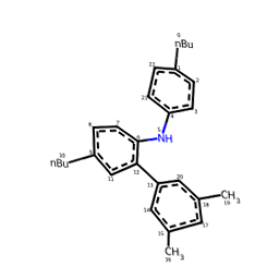 CCCCc1ccc(Nc2ccc(CCCC)cc2-c2cc(C)cc(C)c2)cc1